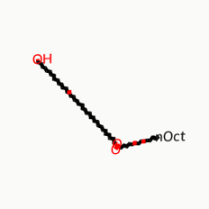 CCCCCCCCC=CCCCCCCCCCCCC(=O)OCCCCCCCCCCCCCCCCCCCCCCCCCCCCCCCCCCCCCCCO